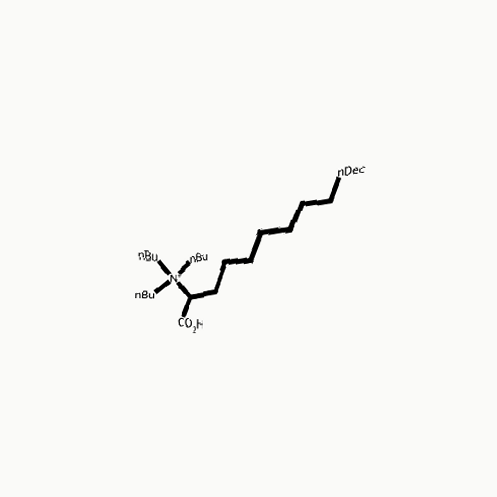 CCCCCCCCCCCCCCCCCC(C(=O)O)[N+](CCCC)(CCCC)CCCC